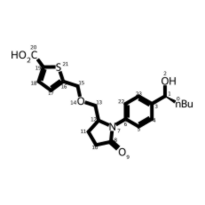 CCCC[C@H](O)c1ccc(N2C(=O)CCC2COCc2ccc(C(=O)O)s2)cc1